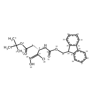 CC(C)(C)OC(=O)C[C@H](NC(=O)OCC1c2ccccc2-c2ccccc21)C(Cl)=NO